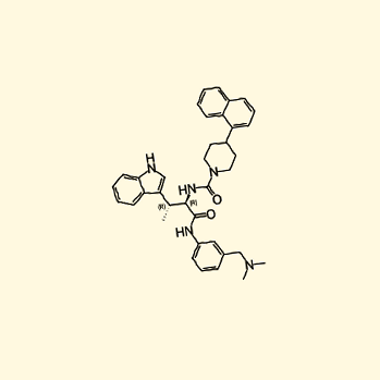 C[C@H](c1c[nH]c2ccccc12)[C@@H](NC(=O)N1CCC(c2cccc3ccccc23)CC1)C(=O)Nc1cccc(CN(C)C)c1